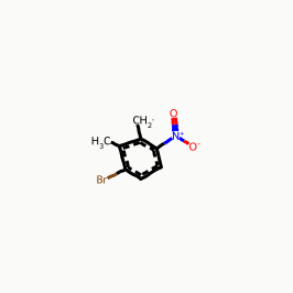 [CH2]c1c([N+](=O)[O-])ccc(Br)c1C